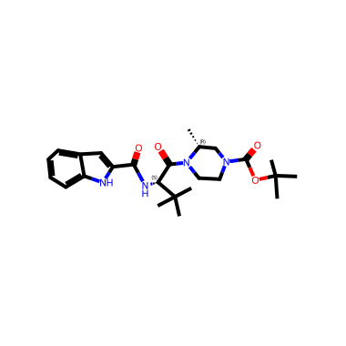 C[C@@H]1CN(C(=O)OC(C)(C)C)CCN1C(=O)[C@@H](NC(=O)c1cc2ccccc2[nH]1)C(C)(C)C